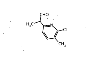 Cc1ccc(C(C)C=O)nc1Cl